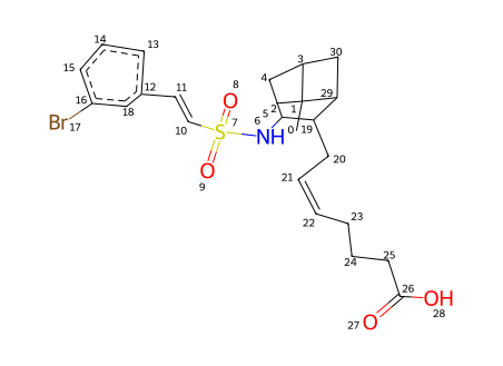 CC1(C)C2CC(NS(=O)(=O)C=Cc3cccc(Br)c3)C(C/C=C\CCCC(=O)O)C1C2